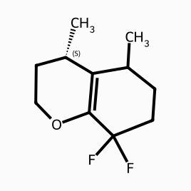 CC1CCC(F)(F)C2=C1[C@@H](C)CCO2